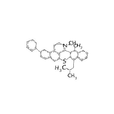 Cc1c2c(c(CC(C)C)c3ccccc13)Sc1cc3ccc(-c4ccccc4)cc3c3cc[n+](C)c-2c13